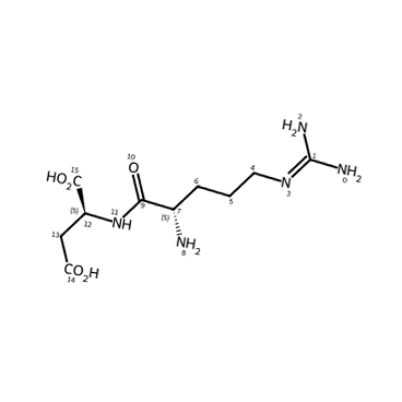 NC(N)=NCCC[C@H](N)C(=O)N[C@@H](CC(=O)O)C(=O)O